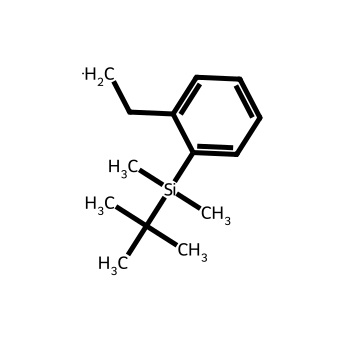 [CH2]Cc1ccccc1[Si](C)(C)C(C)(C)C